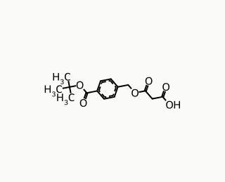 CC(C)(C)OC(=O)c1ccc(COC(=O)CC(=O)O)cc1